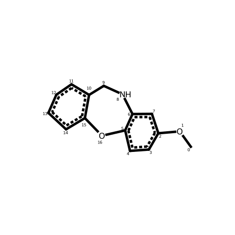 COc1ccc2c(c1)NCc1ccccc1O2